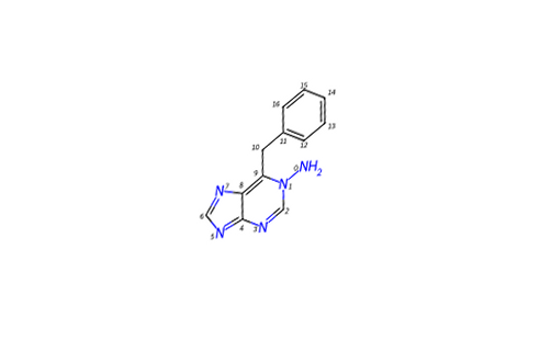 Nn1cnc2ncnc-2c1Cc1ccccc1